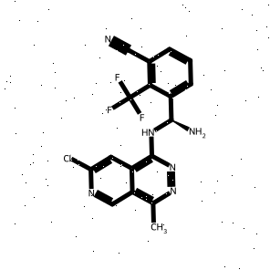 Cc1nnc(N[C@H](N)c2cccc(C#N)c2C(F)(F)F)c2cc(Cl)ncc12